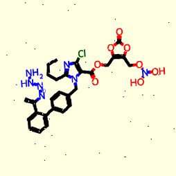 C=C(/N=N\NN)c1ccccc1-c1ccc(Cn2c(CCCC)nc(Cl)c2C(=O)OCc2oc(=O)oc2CON(O)O)cc1